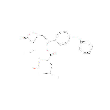 CC[C@@H]1C(=O)O[C@H]1C[C@H](OC(=O)[C@@H](CC(C)C)NC=O)c1ccc(Oc2ccccc2)cc1